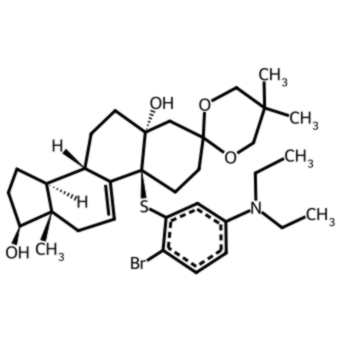 CCN(CC)c1ccc(Br)c(S[C@]23CCC4(C[C@]2(O)CC[C@@H]2C3=CC[C@]3(C)[C@@H](O)CC[C@@H]23)OCC(C)(C)CO4)c1